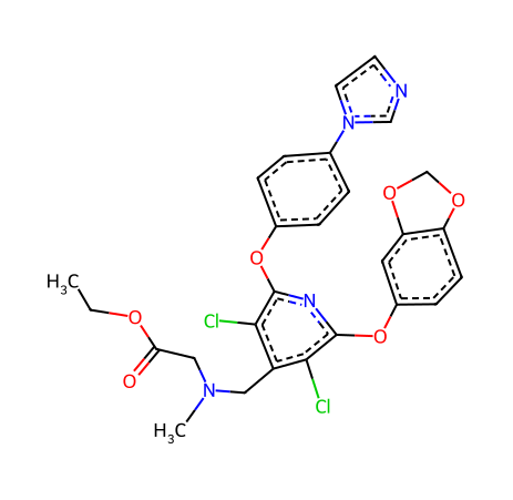 CCOC(=O)CN(C)Cc1c(Cl)c(Oc2ccc(-n3ccnc3)cc2)nc(Oc2ccc3c(c2)OCO3)c1Cl